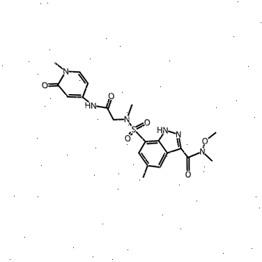 CON(C)C(=O)c1n[nH]c2c(S(=O)(=O)N(C)CC(=O)Nc3ccn(C)c(=O)c3)cc(C)cc12